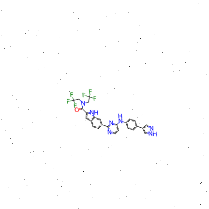 O=C(c1cc2ccc(-c3nccc(Nc4ccc(-c5cn[nH]c5)cc4)n3)cc2[nH]1)N(CC(F)(F)F)CC(F)(F)F